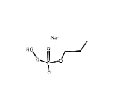 CCCOP(=O)([O-])OO.[Na+]